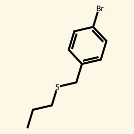 CCCSCc1ccc(Br)cc1